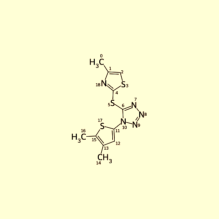 Cc1csc(Sc2nnnn2-c2cc(C)c(C)s2)n1